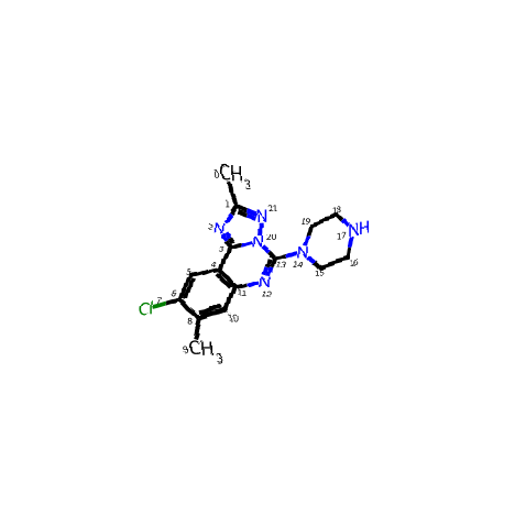 Cc1nc2c3cc(Cl)c(C)cc3nc(N3CCNCC3)n2n1